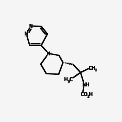 CC(C)(C[C@@H]1CCCN(c2ccnnc2)C1)NC(=O)O